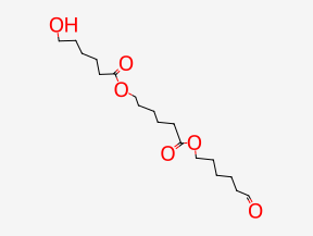 O=CCCCCCOC(=O)CCCCCOC(=O)CCCCCO